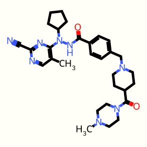 Cc1cnc(C#N)nc1N(NC(=O)c1ccc(CN2CCC(C(=O)N3CCN(C)CC3)CC2)cc1)C1CCCC1